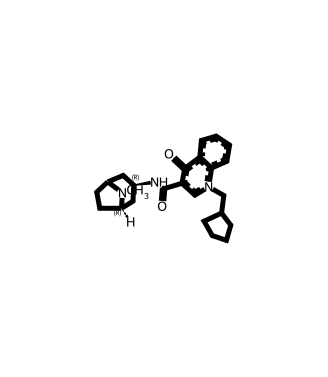 CN1C2CC[C@@H]1C[C@H](NC(=O)c1cn(CC3CCCC3)c3ccccc3c1=O)C2